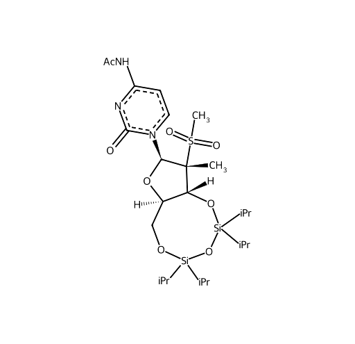 CC(=O)Nc1ccn([C@@H]2O[C@@H]3CO[Si](C(C)C)(C(C)C)O[Si](C(C)C)(C(C)C)O[C@H]3[C@@]2(C)S(C)(=O)=O)c(=O)n1